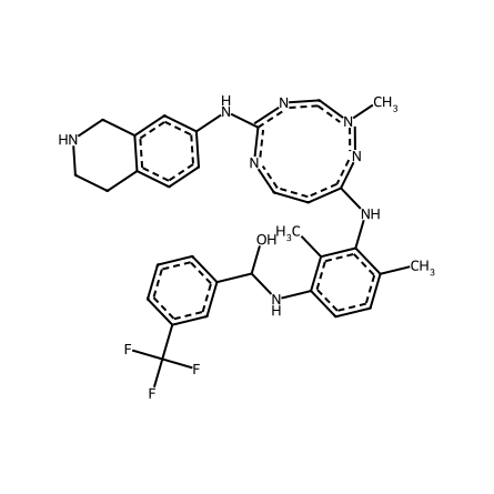 Cc1ccc(NC(O)c2cccc(C(F)(F)F)c2)c(C)c1Nc1ccnc(Nc2ccc3c(c2)CNCC3)ncn(C)n1